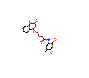 COc1cc(Cl)c(C)cc1NC(=O)CCCOc1cc(=O)n(C)c2ccccc12